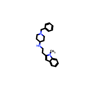 Cn1c(CCNC2CCN(Cc3ccccc3)CC2)cc2ccccc21